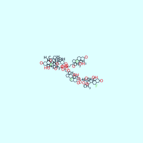 CC(=O)OC(CC(=O)OC1C[C@@]2(C)C(CCC3C4CC[C@H](C(=O)CC(OC(=O)CCC(=O)[C@H]5CCC6C7CCC8CC(=O)CC[C@]8(C)[C@]7(F)[C@@H](O)C[C@@]65C)(OC(=O)CCC(=O)[C@H]5CCC6C7CCC8CC(=O)CC[C@]8(C)[C@]7(F)[C@@H](O)C[C@@]65C)C(=O)OC5C[C@@]6(C)[C@H](CC[C@H]7[C@@H]8CC[C@H](C(C)=O)[C@@]8(C)CC(=O)[C@@H]76)CC5=O)[C@@]4(C)C[C@H](O)[C@]32F)CC1=O)C(=O)[C@H]1CCC2C3C[C@@H](F)C4CC(=O)CC[C@]4(C)C3[C@@H](O)C[C@@]21C